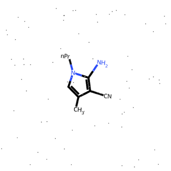 CCCn1cc(C)c(C#N)c1N